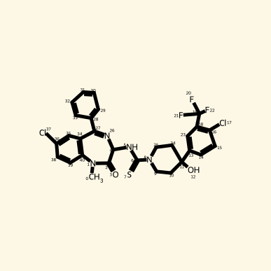 CN1C(=O)C(NC(=S)N2CCC(O)(c3ccc(Cl)c(C(F)(F)F)c3)CC2)N=C(c2ccccc2)c2cc(Cl)ccc21